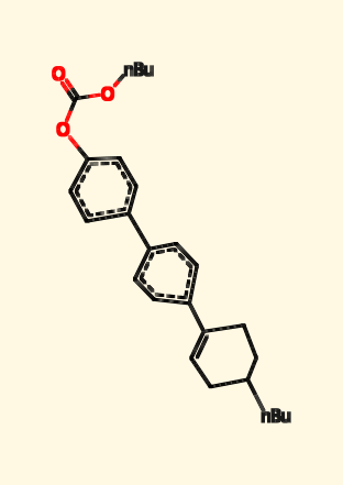 CCCCOC(=O)Oc1ccc(-c2ccc(C3=CCC(CCCC)CC3)cc2)cc1